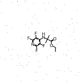 CCOC(=O)C(C)(C)Nc1c(F)c(F)nc(F)c1F